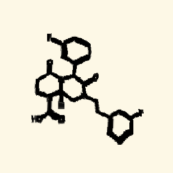 O=C1[C@H](c2cccc(F)c2)N2C(=O)CCN(C(=O)O)[C@H]2CN1CCc1cccc(F)c1